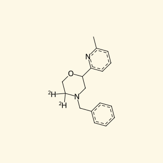 [2H]C1([2H])COC(c2cccc(C)n2)CN1Cc1ccccc1